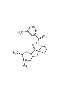 CCCCCC1(C(=O)OCC(C)C)CCCC1OC(=O)c1cccc(C)c1